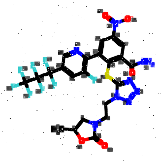 CC1CN(CCn2nnnc2Sc2c(C(N)=O)cc([N+](=O)[O-])cc2-c2ncc(C(F)(F)C(F)(F)C(F)(F)F)cc2F)C(=O)O1